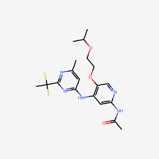 CC(=O)Nc1cc(Nc2cc(C)nc(C(C)(F)F)n2)c(OCCOC(C)C)cn1